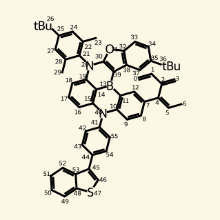 C=CC(=C)/C(=C\C)c1ccc2c(c1)B1c3c(cccc3N(c3c(C)cc(C(C)(C)C)cc3C)c3oc4ccc(C(C)(C)C)cc4c31)N2c1ccc(-c2csc3ccccc23)cc1